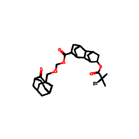 CCC(C)(C)C(=O)OC1CC2CC1C1C3CC(CC3C(=O)OCOCC34CC5CC(CC(C5)C3=O)C4)C21